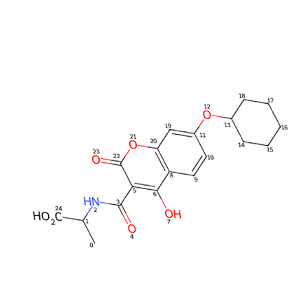 CC(NC(=O)c1c(O)c2ccc(OC3CCCCC3)cc2oc1=O)C(=O)O